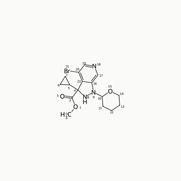 COC(=O)C1(C2CC2)NN(C2CCCCO2)c2cncc(Br)c21